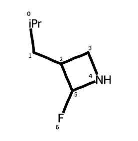 CC(C)CC1CNC1F